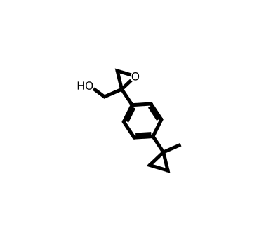 CC1(c2ccc(C3(CO)CO3)cc2)CC1